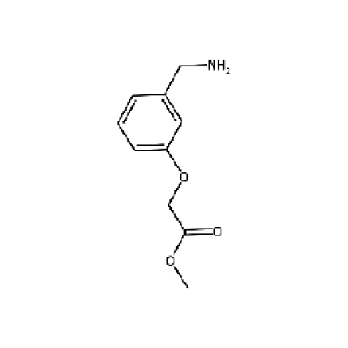 COC(=O)COc1cccc(CN)c1